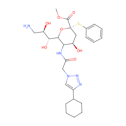 COC(=O)[C@@]1(Sc2ccccc2)C[C@@H](O)C(NC(=O)Cn2cc(C3CCCCC3)nn2)C([C@H](O)[C@H](O)CN)O1